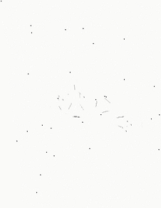 Cn1cc(-c2ccc(CN3C(=O)C4(CCN4C(=O)C4CCCCC4)c4ccccc43)c(F)c2)cn1